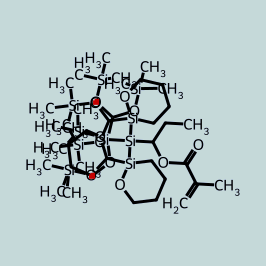 C=C(C)C(=O)OC(CC)[Si]([Si]1(C(O[Si](C)(C)C)O[Si](C)(C)C)CCCCO1)([Si]1(C(O[Si](C)(C)C)O[Si](C)(C)C)CCCCO1)[Si]1(C(O[Si](C)(C)C)O[Si](C)(C)C)CCCCO1